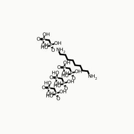 NCCCCCCCCN.O=P(O)(O)CP(=O)(O)O.O=P(O)(O)CP(=O)(O)O.O=P(O)(O)CP(=O)(O)O.O=P(O)(O)CP(=O)(O)O